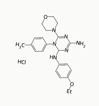 CCOc1ccc(NC2N=C(N)N=C(N3CCOCC3)N2c2ccc(C)cc2)cc1.Cl